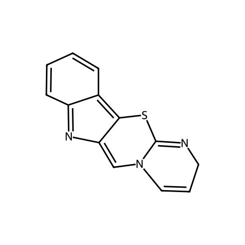 C1=CN2C=C3N=c4ccccc4=C3SC2=NC1